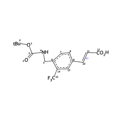 CC(C)(C)OC(=O)NCc1ccc(/C=C/C(=O)O)cc1C(F)(F)F